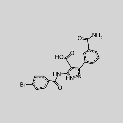 NC(=O)c1cccc(-c2n[nH]c(NC(=O)c3ccc(Br)cc3)c2C(=O)O)c1